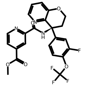 COC(=O)c1ccnc(C(=O)N[C@]2(c3ccc(OC(F)(F)F)c(F)c3)CCOc3cccnc32)c1